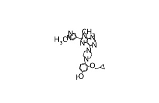 Cn1cc(-c2nc3c(N4CCN(c5ccc(OI)cc5OCC5CC5)CC4)ncnc3n2C)cn1